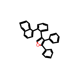 c1ccc(-c2occ(-c3ccccc3-c3cccc4ccccc34)c2-c2ccccc2)cc1